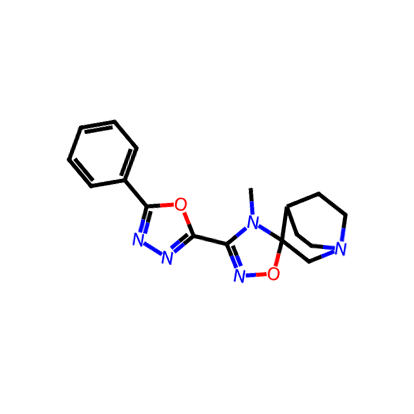 CN1C(c2nnc(-c3ccccc3)o2)=NOC12CN1CCC2CC1